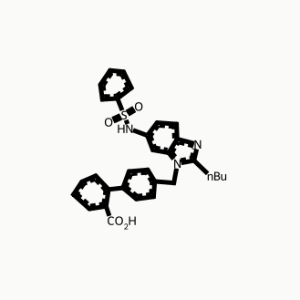 CCCCc1nc2ccc(NS(=O)(=O)c3ccccc3)cc2n1Cc1ccc(-c2ccccc2C(=O)O)cc1